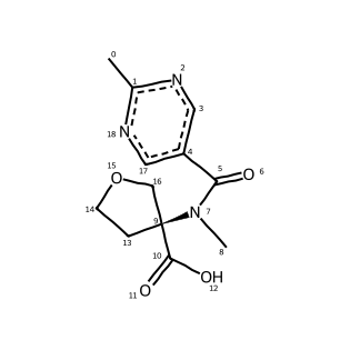 Cc1ncc(C(=O)N(C)[C@@]2(C(=O)O)CCOC2)cn1